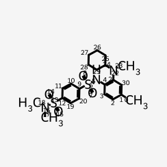 Cc1ccc(NS(=O)(=O)c2ccc(S(=O)(=O)N(C)C)cc2)c(N(C)C2CCCCC2)c1